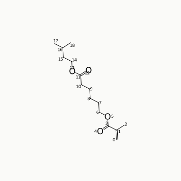 C=C(C)C(=O)OCCCCCC(=O)OCCC(C)C